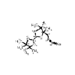 CC1(C)OB(B2OC(C)(C)C(C)(CN=[N+]=[N-])O2)OC1(C)C